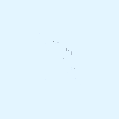 Cc1nnc(CNC(=O)CCl)n1-c1ccc(Cl)cc1C(=O)c1ccccc1